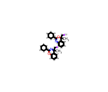 CC1(CI)N=C(C2CCCCC2)Oc2ccccc21.CC1(CI)OC(C2CCCCC2)=Nc2ccccc21